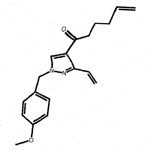 C=CCCCC(=O)c1cn(Cc2ccc(OC)cc2)nc1C=C